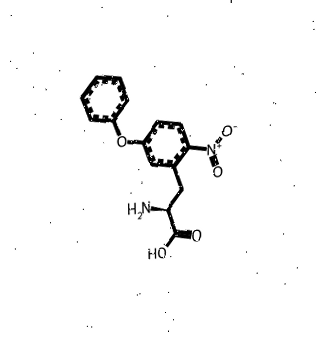 N[C@@H](Cc1cc(Oc2ccccc2)ccc1[N+](=O)[O-])C(=O)O